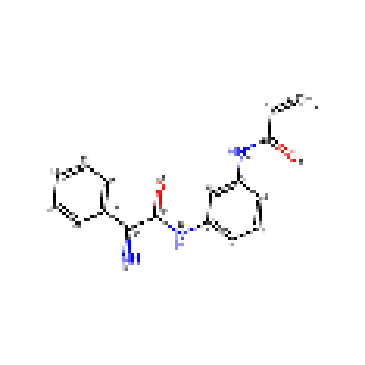 C=CC(=O)Nc1cccc(NC(=O)C(=N)c2ccccc2)c1